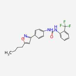 CCCCc1cc(-c2ccc(NC(=O)Nc3ccccc3C(F)(F)F)cc2)no1